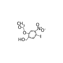 COCOc1cc([N+](=O)[O-])c(I)cc1CO